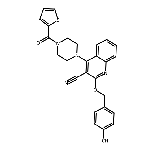 Cc1ccc(COc2nc3ccccc3c(N3CCN(C(=O)c4cccs4)CC3)c2C#N)cc1